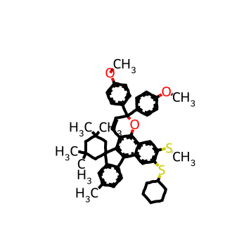 COc1ccc(C2(c3ccc(OC)cc3)C=Cc3c4c(c5cc(SC6CCCCC6)c(SC)cc5c3O2)-c2ccc(C)cc2C42CC(C)(C)CC(C)(C)C2)cc1